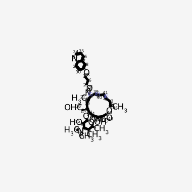 CO[C@@H]1[C@@H](OC2OC(C)C(C)C(N(C)C)C2O)[C@@H](CC=O)C[C@@H](C)C(=N/OCCCOc2ccc3ncccc3c2)/C=C/C=C/C[C@@H](C)OC(=O)C[C@H]1O